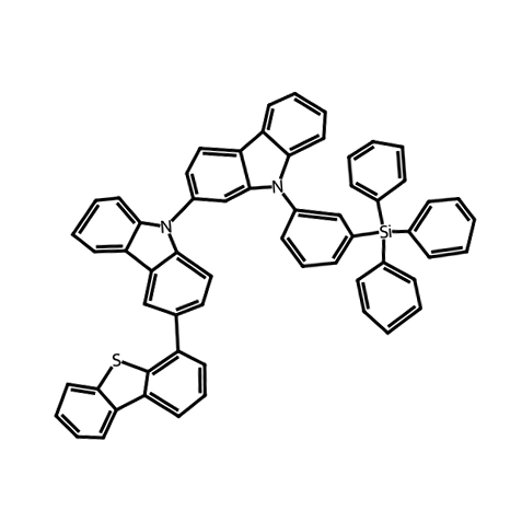 c1ccc([Si](c2ccccc2)(c2ccccc2)c2cccc(-n3c4ccccc4c4ccc(-n5c6ccccc6c6cc(-c7cccc8c7sc7ccccc78)ccc65)cc43)c2)cc1